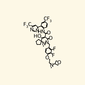 CN(CCOc1ccc(CN2C(=O)C(C(=O)Nc3ccc(C(F)(F)F)cc3-c3cc(C(F)(F)F)ncn3)=C(O)C3(CCCC3)N2C)c(F)c1F)C1COC1